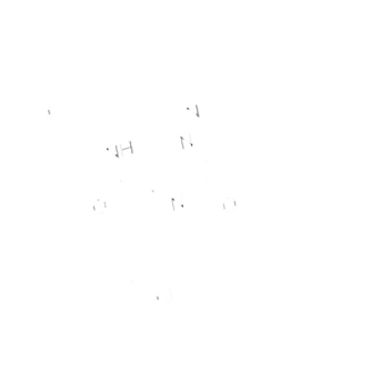 CCc1ccc(-c2cc3n(n2)CC(C)(C(=O)NC2CCCCCC2)N(Cc2ccccc2Cl)C3=O)cc1